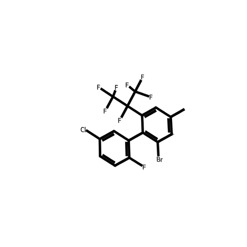 Cc1[c]c(Br)c(-c2cc(Cl)ccc2F)c(C(F)(C(F)(F)F)C(F)(F)F)c1